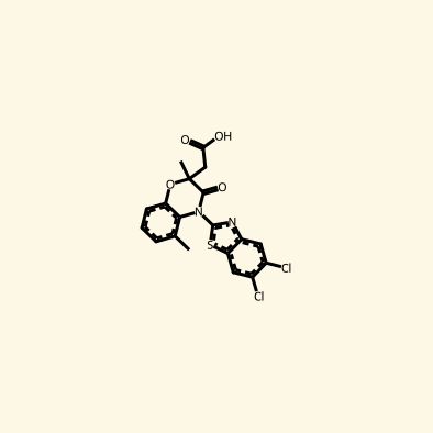 Cc1cccc2c1N(c1nc3cc(Cl)c(Cl)cc3s1)C(=O)C(C)(CC(=O)O)O2